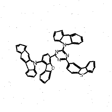 c1ccc2cc3c(cc2c1)c1ccccc1n3-c1ccc(-c2nc(-c3ccc4sc5ccccc5c4c3)nc(-n3c4ccccc4c4ccccc43)n2)c2oc3ccccc3c12